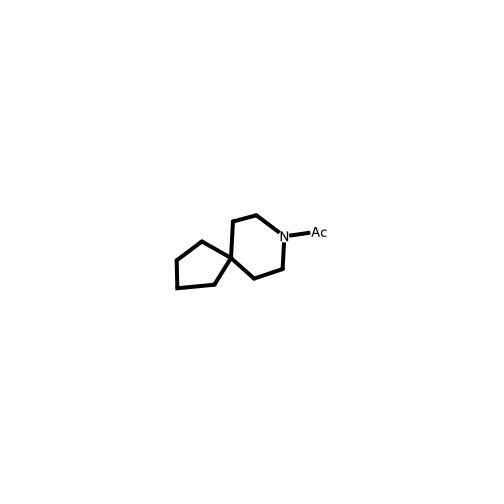 CC(=O)N1CCC2(CCCC2)CC1